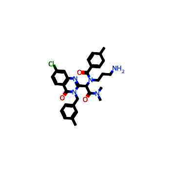 Cc1cccc(Cn2c(C(C(=O)N(C)C)N(CCCN)C(=O)C3=CCC(C)C=C3)nc3cc(Cl)ccc3c2=O)c1